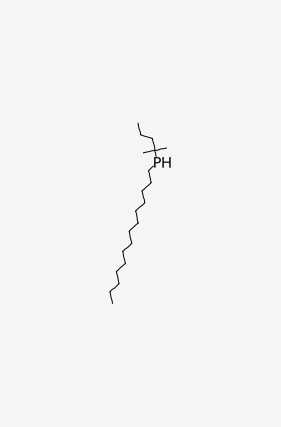 CCCCCCCCCCCCCCPC(C)(C)CCC